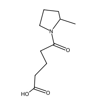 CC1CCCN1C(=O)CCCC(=O)O